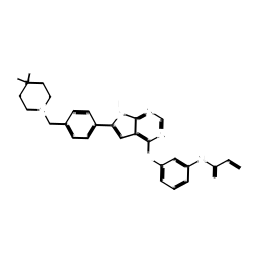 C=CC(=O)Nc1cccc(Oc2ncnc3[nH]c(-c4ccc(CN5CCC(F)(F)CC5)cc4)cc23)c1